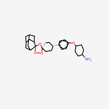 NC1CCC(Oc2ccc([C@H]3CC[C@]4(CC3)OO[C@]3(O4)C4CC5CC(C4)CC3C5)cc2)CC1